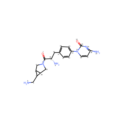 NCC1C2CN(C(=O)[C@@H](N)Cc3ccc(-n4ccc(N)nc4=O)cc3)CC12